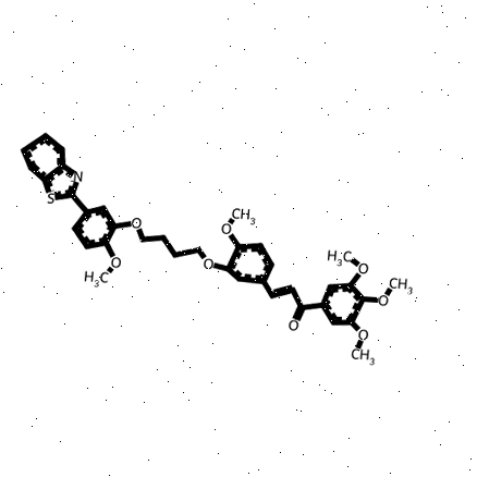 COc1ccc(/C=C/C(=O)c2cc(OC)c(OC)c(OC)c2)cc1OCCCCOc1cc(-c2nc3ccccc3s2)ccc1OC